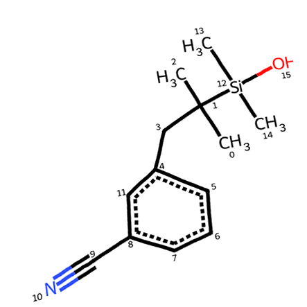 CC(C)(Cc1cccc(C#N)c1)[Si](C)(C)O